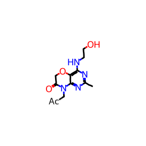 CC(=O)CN1C(=O)COc2c(NCCO)nc(C)nc21